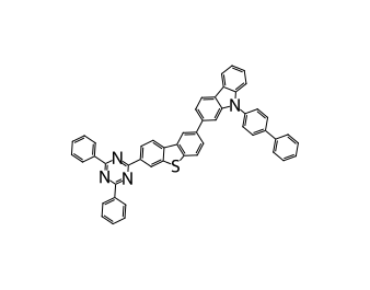 c1ccc(-c2ccc(-n3c4ccccc4c4ccc(-c5ccc6sc7cc(-c8nc(-c9ccccc9)nc(-c9ccccc9)n8)ccc7c6c5)cc43)cc2)cc1